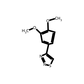 COc1ccc(-c2csnn2)cc1OC